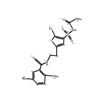 CCc1sc(CCNC(=O)c2cc(C(C)(C)C)ccc2OC)cc1S(=O)(=O)NC(=O)NC